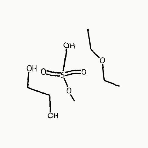 CCOCC.COS(=O)(=O)O.OCCO